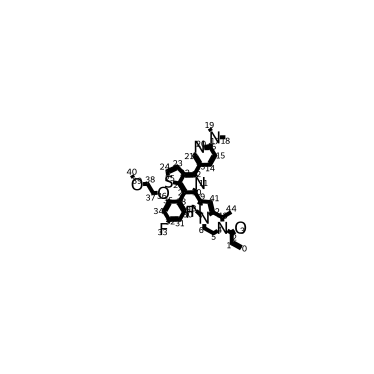 C=CC(=O)N1CCn2nc(-c3nc(-c4ccc(N(C)C)nc4)c4ccsc4c3-c3c(F)cc(F)cc3OCCOC)cc2C1C